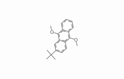 COc1c2ccccc2c(OC)c2cc(C(C)(C)C)ccc12